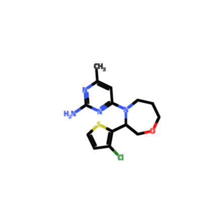 Cc1cc(N2CCCOCC2c2sccc2Cl)nc(N)n1